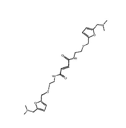 CN(C)Cc1ccc(CSCCNC(=O)C=CC(=O)NCCSCc2ccc(CN(C)C)o2)o1